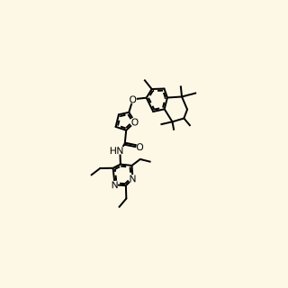 CCc1nc(CC)c(NC(=O)c2ccc(Oc3cc4c(cc3C)C(C)(C)CC(C)C4(C)C)o2)c(CC)n1